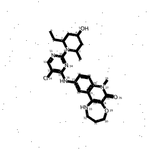 CCC1CC(O)CC(C)N1c1ncc(Cl)c(Nc2ccc3c(c2)c2c(c(=O)n3C)OCCCN2)n1